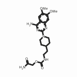 COc1cc2nc(N3CCC(CCNC(=O)OCC(N)=O)CC3)nc(N)c2cc1OC